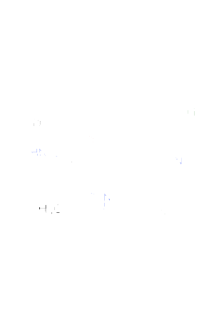 CC(C)NC(=O)[C@@H](C)Nc1ccc(Cl)nc1Cl